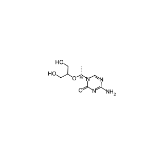 C[C@@H](OC(CO)CO)n1cnc(N)nc1=O